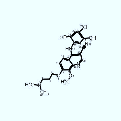 COc1c(OCCCN(C)C)ccc2c(Nc3cc(O)c(Cl)cc3F)c(C#N)cnc12